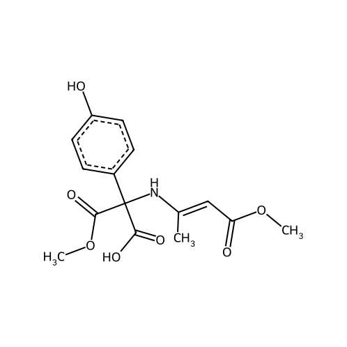 COC(=O)C=C(C)NC(C(=O)O)(C(=O)OC)c1ccc(O)cc1